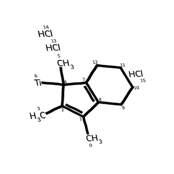 CC1=C(C)[C](C)([Ti])C2=C1CCCC2.Cl.Cl.Cl